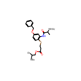 CCCCC(CC)COC(=O)CCSc1ccc(OCc2ccccc2)cc1NC(=O)C(C)NC(C)=O